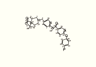 C[C@H]1CN(Cc2ccc(N(C)C(=O)c3ccc(Oc4ccc(F)cc4)nc3)nc2)CC[N+]1(C(=O)[O-])C(C)(C)C